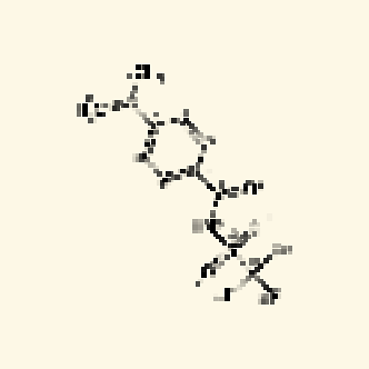 C=C(C)c1ccc(C(=O)NS(=O)(=O)C(F)(F)F)cc1